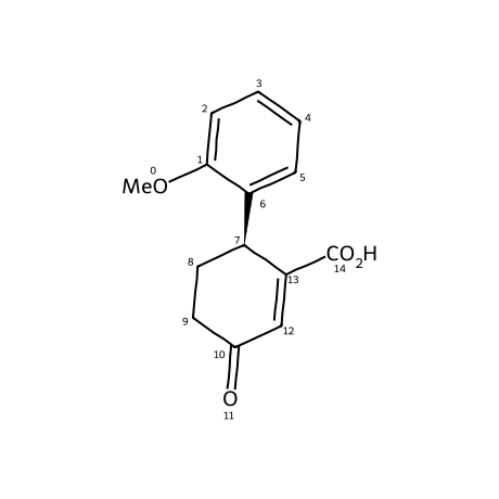 COc1ccccc1[C@@H]1CCC(=O)C=C1C(=O)O